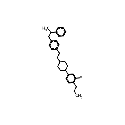 CCCc1ccc(C2CCC(CCc3ccc(C[C@@H](C)c4ccccc4)cc3)CC2)cc1F